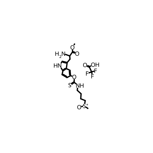 COC(=O)C(N)Cc1c[nH]c2ccc(OC(=S)NCCCC[S+](C)[O-])cc12.O=C(O)C(F)(F)F